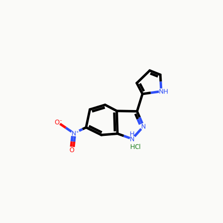 Cl.O=[N+]([O-])c1ccc2c(-c3ccc[nH]3)n[nH]c2c1